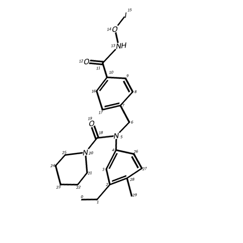 CCc1cc(N(Cc2ccc(C(=O)NOI)cc2)C(=O)N2CCCCC2)ccc1C